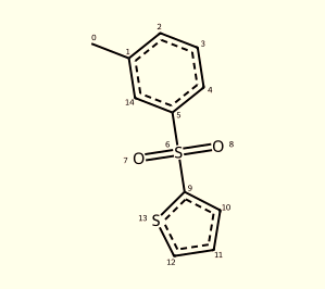 Cc1cccc(S(=O)(=O)c2cccs2)c1